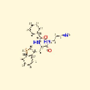 N#CCCNC(=O)C(Cc1csc2ccccc12)NC(=O)c1ccccc1